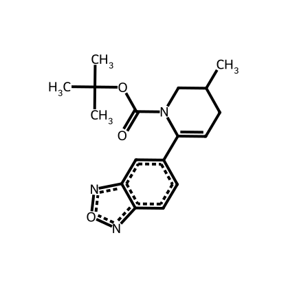 CC1CC=C(c2ccc3nonc3c2)N(C(=O)OC(C)(C)C)C1